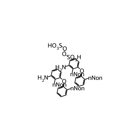 CCCCCCCCCc1ccccc1Oc1cccc(N)c1CCCCCCCCC.CCCCCCCCCc1ccccc1Oc1cccc(N)c1CCCCCCCCC.O=S(=O)(O)OOS(=O)(=O)O